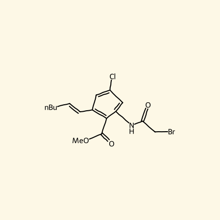 CCCCC=Cc1cc(Cl)cc(NC(=O)CBr)c1C(=O)OC